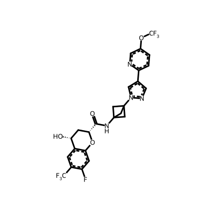 O=C(NC12CC(n3cc(-c4ccc(OC(F)(F)F)cn4)cn3)(C1)C2)[C@H]1C[C@@H](O)c2cc(C(F)(F)F)c(F)cc2O1